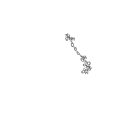 CC(C)(C)OC(=O)NCCOCCOCCOCCNC(=O)COc1cccc2c1C(=O)N(C1CCC(=O)NC1=O)C2=O